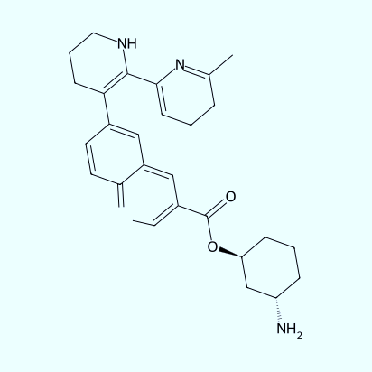 C=c1ccc(C2=C(C3=CCCC(C)=N3)NCCC2)c/c1=C/C(=C\C)C(=O)O[C@H]1CCC[C@H](N)C1